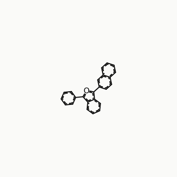 c1ccc(-c2oc(-c3ccc4ccccc4c3)c3ccccc23)cc1